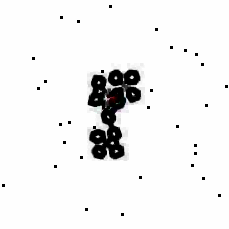 c1ccc(C2(c3ccccc3)c3ccccc3-c3ccc(-c4ccc5c(c4)c4ccccc4n5-c4cccc5c6ccccc6n(-c6cccc([Si](c7ccccc7)(c7ccccc7)c7ccccc7)c6)c45)cc32)cc1